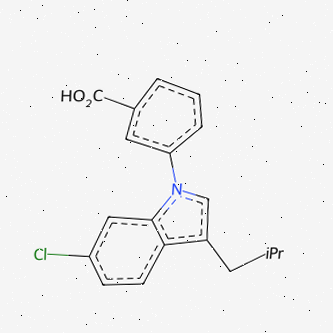 CC(C)Cc1cn(-c2cccc(C(=O)O)c2)c2cc(Cl)ccc12